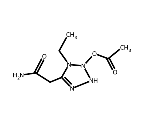 CCN1C(CC(N)=O)=NNN1OC(C)=O